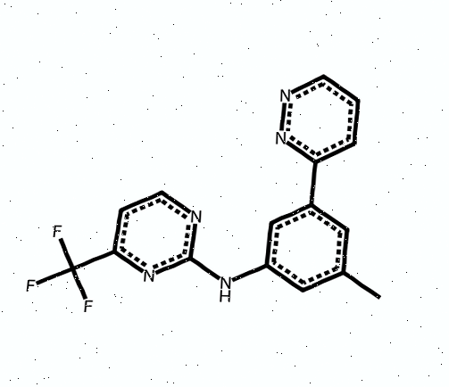 Cc1cc(Nc2nccc(C(F)(F)F)n2)cc(-c2cccnn2)c1